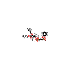 CCCCO[C@@H](C(=O)OCC)C(C)(C)COS(=O)(=O)CCCS(=O)(=O)Oc1ccccc1